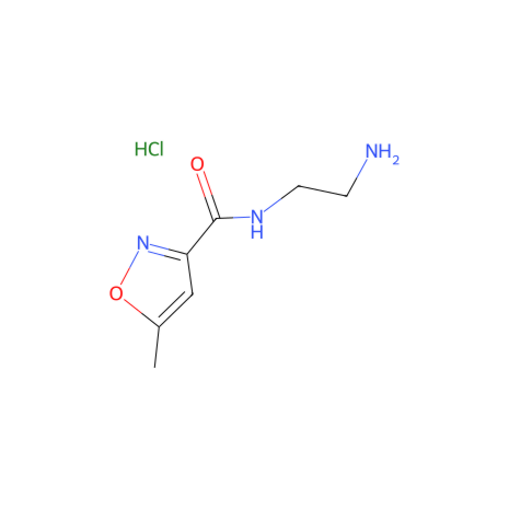 Cc1cc(C(=O)NCCN)no1.Cl